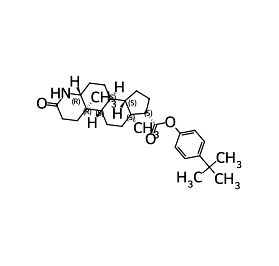 CC(C)(C)c1ccc(OC(=O)[C@H]2CC[C@H]3[C@@H]4CC[C@H]5NC(=O)CC[C@]5(C)[C@H]4CC[C@]23C)cc1